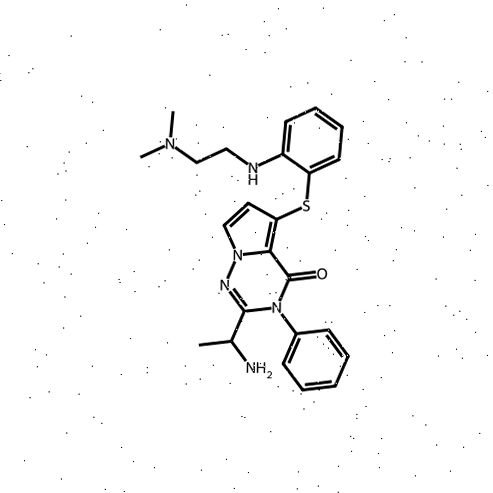 CC(N)c1nn2ccc(Sc3ccccc3NCCN(C)C)c2c(=O)n1-c1ccccc1